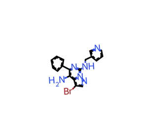 Nc1c(-c2ccccc2)nc(NCc2cccnc2)n2ncc(Br)c12